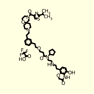 CC(C)c1nc(C(=O)N2CCOC3(CCN(CCc4cccc(CCOCCC(=O)N(CCNCCc5ccc(O)c6c5OCC(=O)N6)C5CCCC5)c4)CC3)C2)cs1.O=C(O)C(F)(F)F